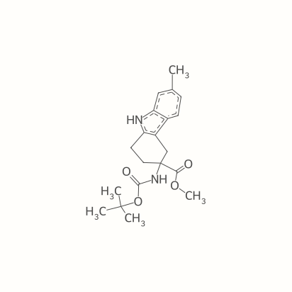 COC(=O)C1(NC(=O)OC(C)(C)C)CCc2[nH]c3cc(C)ccc3c2C1